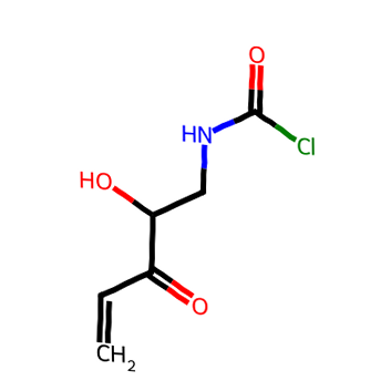 C=CC(=O)C(O)CNC(=O)Cl